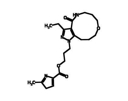 CCc1nn(CCCOC(=O)C2=CCC(C)=N2)c2c1C(=O)NCCCOCCC2